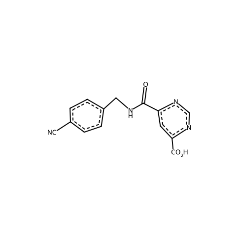 N#Cc1ccc(CNC(=O)c2cc(C(=O)O)ncn2)cc1